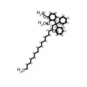 CCCCCCCCCCCCCCCC(O)CC(c1ccccc1)(c1ccccc1)c1cccc(OC)c1OC